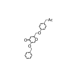 CC(=O)Cc1ccc(OCc2cc(=O)c(OCc3ccccc3)co2)cc1